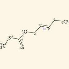 CC/C=C/COC(=S)SC